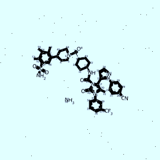 Cc1c(C2CCN(C(=O)[C@H]3CC[C@H](NC(=O)n4c(-c5ccnn5-c5ccc(C#N)cc5)c(C)n(-c5cccc(C(F)(F)F)c5)c4=O)CC3)CC2)cc(S(N)(=O)=O)c(C)c1C.N